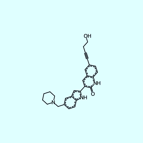 O=c1[nH]c2ccc(C#CCCO)cc2cc1-c1cc2cc(CN3CCCCC3)ccc2[nH]1